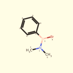 CN(C)B(Br)c1ccccc1